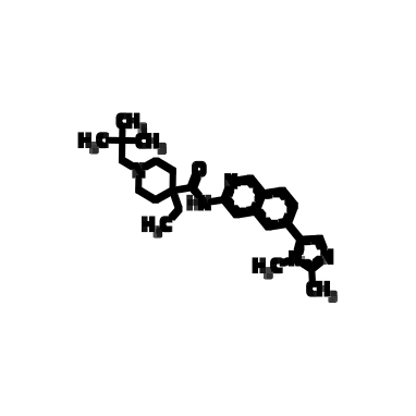 CCC1(C(=O)Nc2cc3cc(-c4cnc(C)n4C)ccc3cn2)CCN(CC(C)(C)C)CC1